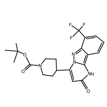 CC(C)(C)OC(=O)N1CCC(c2cc(=O)[nH]c3c4cccc(C(F)(F)F)c4nn23)CC1